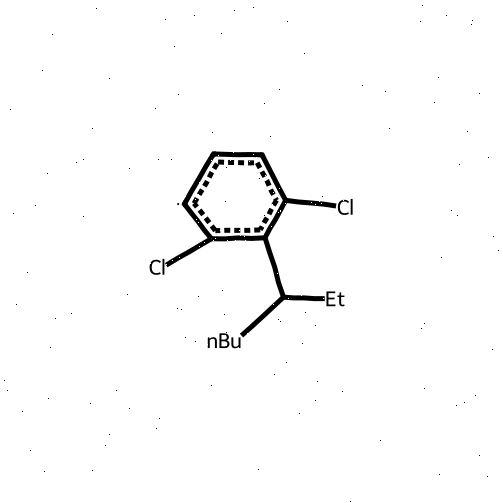 CCCCC(CC)c1c(Cl)[c]ccc1Cl